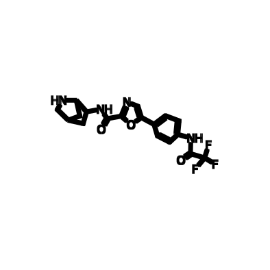 O=C(NC1CC2CNC1C2)c1ncc(-c2ccc(NC(=O)C(F)(F)F)cc2)o1